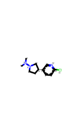 CN(C)N1CC[C@@H](c2ccc(Cl)nc2)C1